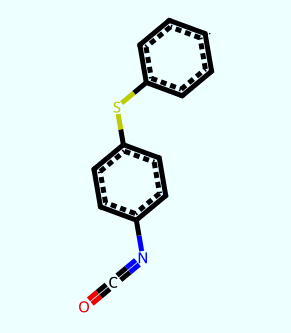 O=C=Nc1ccc(Sc2cc[c]cc2)cc1